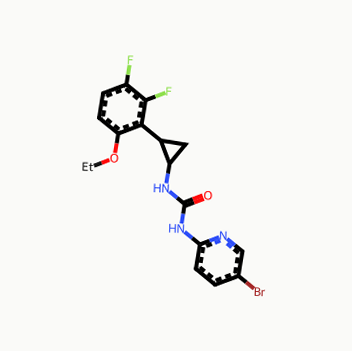 CCOc1ccc(F)c(F)c1C1CC1NC(=O)Nc1ccc(Br)cn1